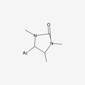 CC(=O)C1C(C)N(C)C(=O)N1C